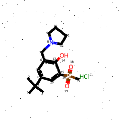 CC(C)(C)c1cc(CN2CCCC2)c(O)c(S(C)(=O)=O)c1.Cl